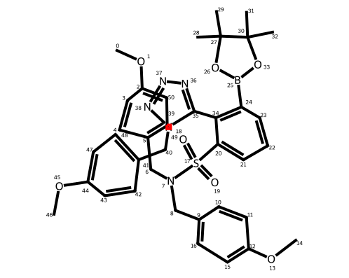 COc1ccc(CN(Cc2ccc(OC)cc2)S(=O)(=O)c2cccc(B3OC(C)(C)C(C)(C)O3)c2-c2nnnn2Cc2ccc(OC)cc2)cc1